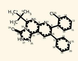 CC(C)(C)c1nc2nc(-c3ccccc3Cl)c(-c3cccnc3)cc2c2n[nH]c(=O)n12